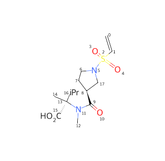 C=CS(=O)(=O)N1CC[C@H](C(=O)N(C)[C@](C)(C(=O)O)C(C)C)C1